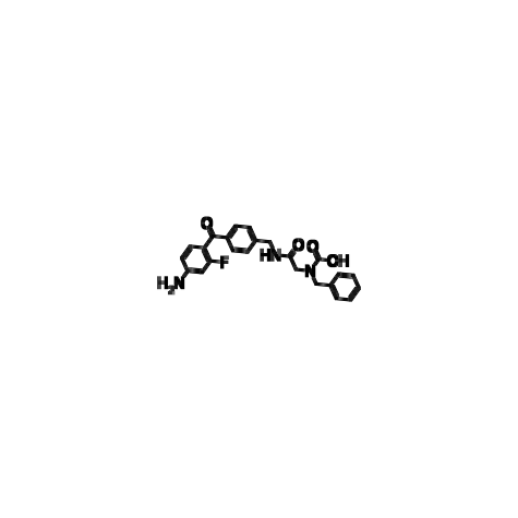 Nc1ccc(C(=O)c2ccc(CNC(=O)CN(Cc3ccccc3)C(=O)O)cc2)c(F)c1